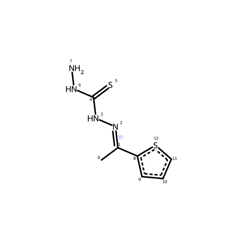 C/C(=N\NC(=S)NN)c1cccs1